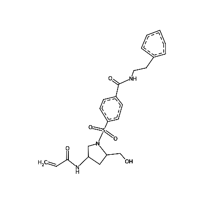 C=CC(=O)NC1CC(CO)N(S(=O)(=O)c2ccc(C(=O)NCCc3ccccc3)cc2)C1